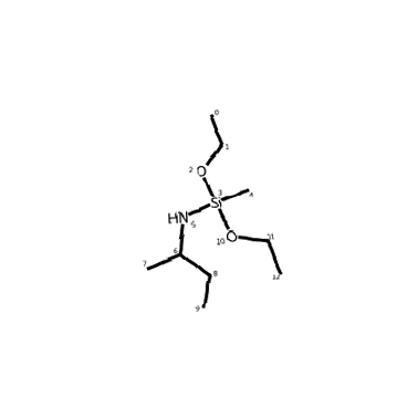 CCO[Si](C)(NC(C)CC)OCC